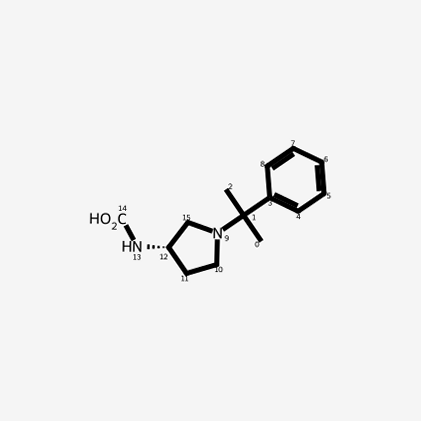 CC(C)(c1ccccc1)N1CC[C@H](NC(=O)O)C1